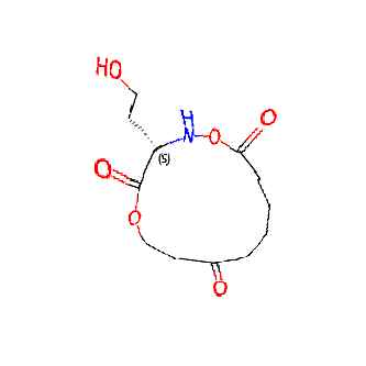 O=C1CCCCC(=O)ON[C@@H](CCO)C(=O)OCC1